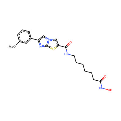 COc1cccc(-c2cn3cc(C(=O)NCCCCCCC(=O)NO)sc3n2)c1